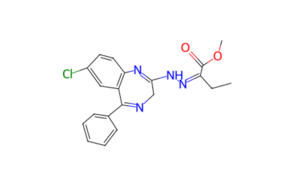 CCC(=NNC1=Nc2ccc(Cl)cc2C(c2ccccc2)=NC1)C(=O)OC